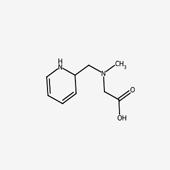 CN(CC(=O)O)CC1C=CC=CN1